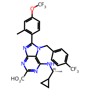 Cc1cc(OC(F)(F)F)ccc1-c1nc2nc(C(=O)O)nc(N[C@H](C)C3CC3)c2n1Cc1ccc(C(F)(F)F)cc1